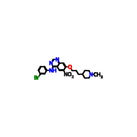 CN1CCC(CCCOc2cc3ncnc(Nc4cccc(Br)c4)c3cc2[N+](=O)[O-])CC1